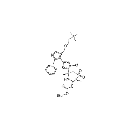 CN1/C(=N/C(=O)OC(C)(C)C)N[C@](C)(c2sc(-c3c(-c4ccccc4)ncn3COCC[Si](C)(C)C)cc2Cl)CS1(=O)=O